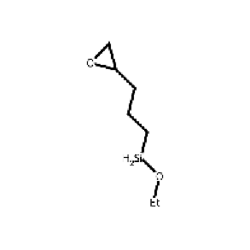 CCO[SiH2]CCCC1CO1